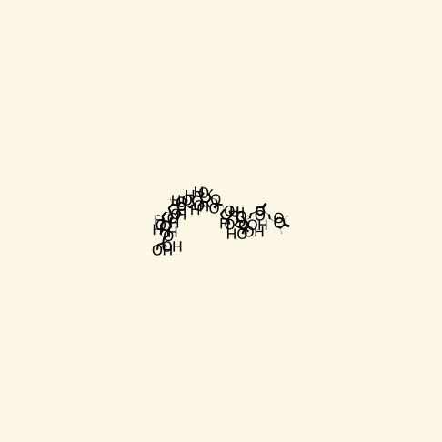 C=C1C[C@H](CC[C@]23OC(C4O[C@H]5CC[C@H](CC(=O)O[C@@H]6[C@@H](C)[C@@H]7O[C@@H]8C[C@]9(C[C@@H]%10O[C@]%11(C[C@H](C)[C@@H]%12O[C@@H]%13C[C@@H]([C@@H](O)CO)O[C@@H]%13C[C@@H]%12O%11)C[C@H](C)[C@@H]%10O9)O[C@@H]8C[C@@H]7O[C@H]6C)O[C@@H]5[C@H](O2)C4C)C(O)(O)C3O)O[C@H]1CC[C@H]1C[C@@H](C)C(=C)[C@@H](C)O1